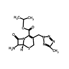 Cc1nnn(CC2=C(C(=O)OC(C)C)N3C(=O)C(N)[C@H]3SC2)n1